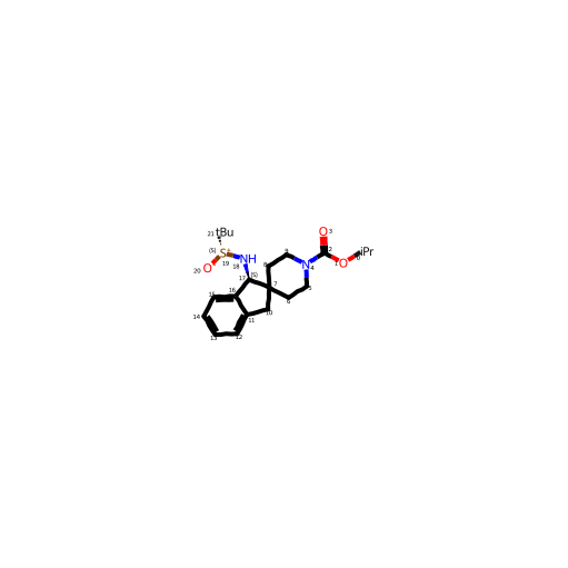 CC(C)OC(=O)N1CCC2(CC1)Cc1ccccc1[C@H]2N[S@+]([O-])C(C)(C)C